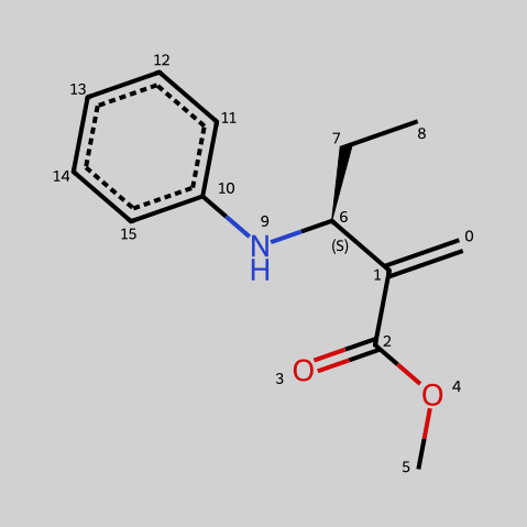 C=C(C(=O)OC)[C@H](CC)Nc1ccccc1